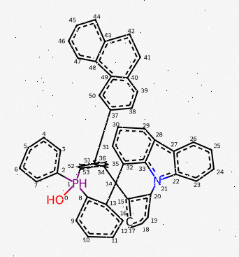 O[PH]1(c2ccccc2)c2ccccc2C2(c3ccccc3-n3c4ccccc4c4cccc2c43)c2cc(-c3ccc4ccc5ccccc5c4c3)ccc21